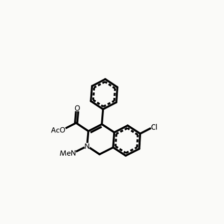 CNN1Cc2ccc(Cl)cc2C(c2ccccc2)=C1C(=O)OC(C)=O